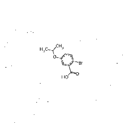 CC(C)Oc1ccc(Br)c(C(=O)O)c1